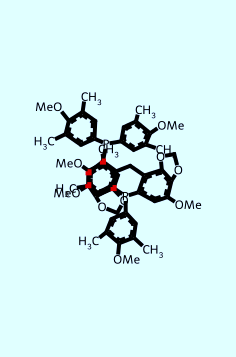 COc1cc(P(c2cc(C)c(OC)c(C)c2)c2cc(C)c(OC)c(C)c2)c(Cc2c(P(c3cc(C)c(OC)c(C)c3)c3cc(C)c(OC)c(C)c3)cc(OC)c3c2OCO3)c2c1OCO2